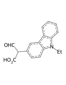 CCn1c2ccccc2c2cc(C(C=O)C(=O)O)ccc21